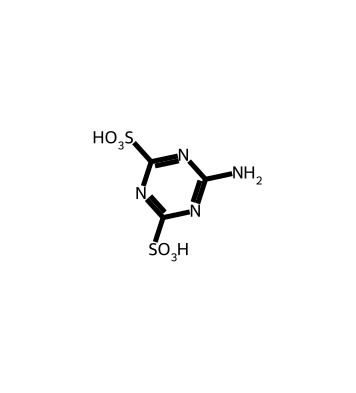 Nc1nc(S(=O)(=O)O)nc(S(=O)(=O)O)n1